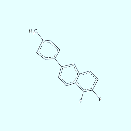 Cc1ccc(-c2ccc3c(F)c(F)ccc3c2)cc1